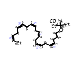 CC/C=C\C/C=C\C/C=C\C/C=C\C/C=C\C/C=C\CCCOC(CC)(CC)C(=O)O